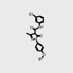 CCc1cccc(NC(=O)C2C(=O)N(c3ccc(OC(C)C)cc3)N=C2C)c1